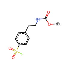 CC(C)(C)OC(=O)NCCc1ccc(S(=O)(=O)F)cc1